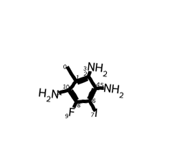 Cc1c(N)c(N)c(I)c(F)c1N